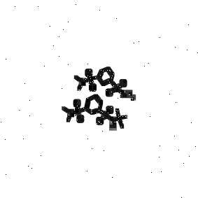 CN(C)S(=O)(=O)c1cccc(S(=O)(=O)NC(C)(C)C)c1.CN(C)S(=O)(=O)c1cccc(S(N)(=O)=O)c1